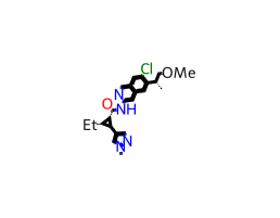 CC[C@H]1C(c2cnn(C)c2)[C@H]1C(=O)Nc1cc2cc([C@@H](C)COC)c(Cl)cc2cn1